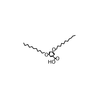 CCCCCCCCCCCOc1cc(OCCCCCCCCCCC)cc(C(=O)O)c1